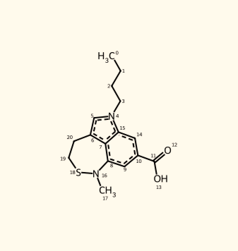 CCCCn1cc2c3c(cc(C(=O)O)cc31)N(C)SCC2